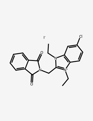 CCn1c(CN2C(=O)c3ccccc3C2=O)[n+](CC)c2ccc(Cl)cc21.[I-]